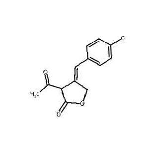 CC(=O)C1C(=O)OCC1=Cc1ccc(Cl)cc1